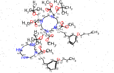 CCCCOc1cccc(CCC[C@@H](C(=O)OC)N2CCN([C@@H](COC(C)(C)C)C(=O)OC)CCN([C@@H](COC(C)(C)C)C(=O)OC)CCN([C@@H](COC(C)(C)C)C(=O)OC)CC2)c1.CCCCOc1cccc(CCC[C@@H](C(=O)OC)N2CCNCCNCCNCC2)c1